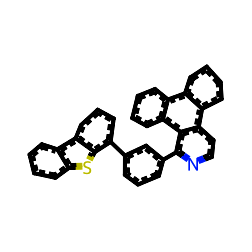 c1cc(-c2cccc3c2sc2ccccc23)cc(-c2nccc3c4ccccc4c4ccccc4c23)c1